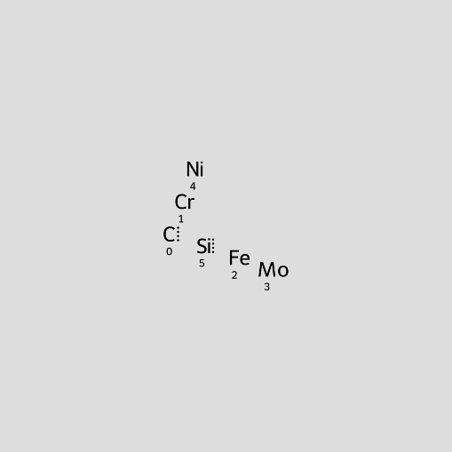 [C].[Cr].[Fe].[Mo].[Ni].[Si]